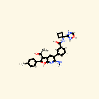 CCNc1nc2oc(-c3ccc(C)cc3)c(C(=O)NC)c2cc1-c1cccc(C(=O)NC2(c3ncon3)CCC2)c1